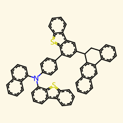 c1ccc2c(c1)CC(c1cc(-c3ccc(N(c4cccc5ccccc45)c4cccc5c4sc4ccccc45)cc3)c3sc4ccccc4c3c1)c1cc3ccccc3cc1-2